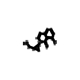 O=c1c2c(Cl)cccc2ccn1C1CC1CO